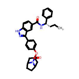 CCC[C@H](NC(=O)c1ccc2[nH]nc(-c3ccc(OC4CC5CCC(C4)N5C=O)cc3)c2c1)c1ccccc1